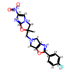 CC1(CN2Cc3nc(-c4ccc(F)cc4)oc3C2)Cn2cc([N+](=O)[O-])nc2O1